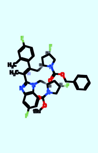 C/C(=C(/C[C@@H]1C[C@H](F)CN1C(=O)OCc1ccccc1)c1ccc(F)cc1C)c1nc2cc(F)ccc2n1C[C@@H]1C[C@H](F)CN1C(=O)OC(C)(C)C